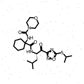 CC(C)C[C@H](NC(=O)C1(NC(=O)N2CCOCC2)CCCCC1)C(=O)c1noc(SC(C)C)n1